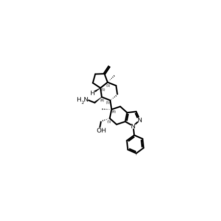 C=C1CC[C@H]2[C@H](CN)[C@@H]([C@@]3(C)Cc4cnn(-c5cc[c]cc5)c4C[C@@H]3CO)CC[C@]12C